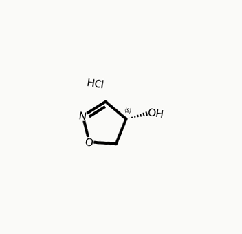 Cl.O[C@H]1C=NOC1